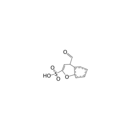 O=CC1C=C(S(=O)(=O)O)Oc2ccccc21